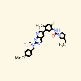 COc1ccc(CN(C)c2ncc3cc(-c4cc(NC(=O)N5CCC(CC(F)(F)F)C5)c(F)cc4C)cnc3n2)cc1